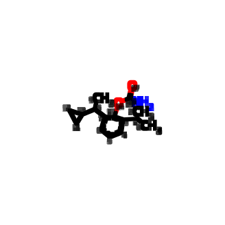 CC(C)c1cccc(C(C)C2CC2)c1OC(N)=O